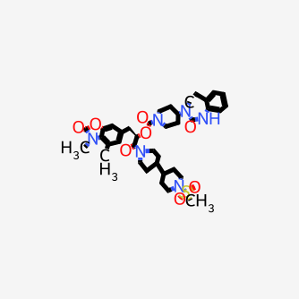 Cc1cc(C[C@@H](OC(=O)N2CCC(N3CCc4ccccc4NC3=O)CC2)C(=O)N2CCC(C3CCN(S(C)(=O)=O)CC3)CC2)cc2oc(=O)n(C)c12